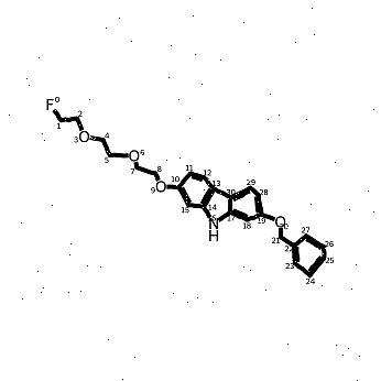 FCCOCCOCCOc1ccc2c(c1)[nH]c1cc(OCc3ccccc3)ccc12